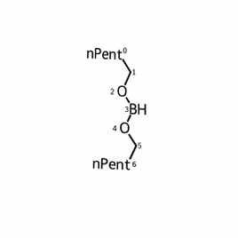 CCCCCCOBOCCCCCC